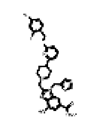 COC(=O)c1cc(O)c2nc(CN3CCC(c4cccc(OCc5ccc(C#N)cc5F)n4)CC3)n(Cc3cncs3)c2c1